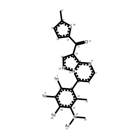 [2H]c1c([2H])c(-c2ccnc3c(C(=O)c4ccc(C)s4)cnn23)c(C)c(N(C)C(C)=O)c1[2H]